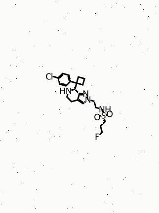 O=S(=O)(CCCF)NCCn1cc2c(n1)C(C1(c3ccc(Cl)cc3)CCC1)NCC2